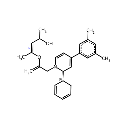 C=C(CN1C=CC(c2cc(C)cc(C)c2)=CC1[C@H]1C=CC=CC1)O/C(C)=C\C(C)O